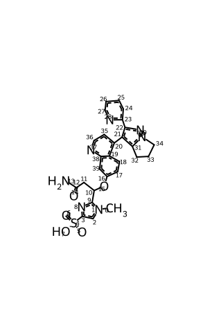 Cn1cc(S(=O)(=O)O)nc1C(CC(N)=O)Oc1ccc2c(-c3c(-c4ccccn4)nn4c3CCC4)ccnc2c1